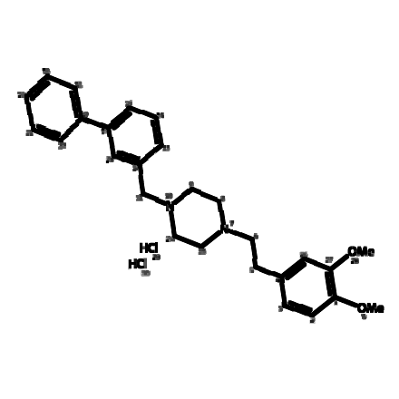 COc1ccc(CCN2CCN(Cc3cccc(-c4ccccc4)c3)CC2)cc1OC.Cl.Cl